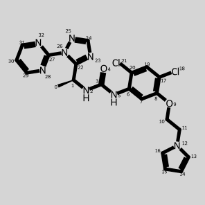 C[C@H](NC(=O)Nc1cc(OCCn2cccc2)c(Cl)cc1Cl)c1ncnn1-c1ncccn1